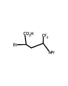 CCCC(CC(CC)C(=O)O)C(F)(F)F